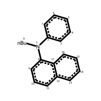 CCCCN(c1ccccc1)c1cccc2ccccc12